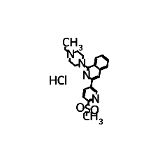 CCN1CCN(c2nc(-c3ccc(S(C)(=O)=O)nc3)cc3ccccc23)CC1.Cl